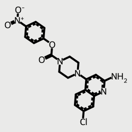 Nc1cc(N2CCN(C(=O)Oc3ccc([N+](=O)[O-])cc3)CC2)c2ccc(Cl)cc2n1